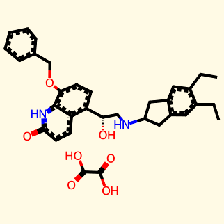 CCc1cc2c(cc1CC)CC(NC[C@H](O)c1ccc(OCc3ccccc3)c3[nH]c(=O)ccc13)C2.O=C(O)C(=O)O